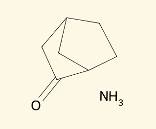 N.O=C1CC2CCC1C2